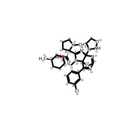 CNC(=O)[C@]1(C2=NC3(N4CCON4)N=C4N=C(c5cccc(Cl)c5)C3(O4)N2C[C@H]2CC[C@H](C)CC2)CCCN1C